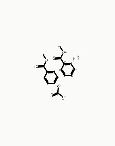 COC(=O)c1ccccc1.COC(=O)c1ccccc1.O=C([O-])[O-].[K+].[K+]